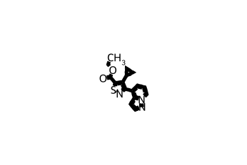 CCOC(=O)c1snc(-c2cccn3nccc23)c1C1CC1